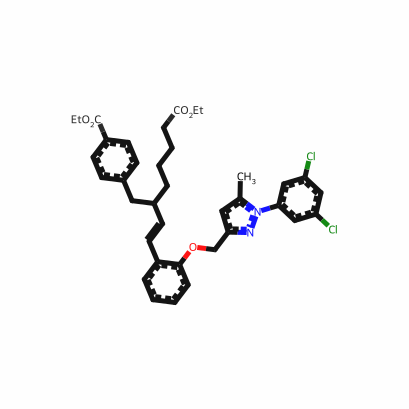 CCOC(=O)CCCCC(/C=C/c1ccccc1OCc1cc(C)n(-c2cc(Cl)cc(Cl)c2)n1)Cc1ccc(C(=O)OCC)cc1